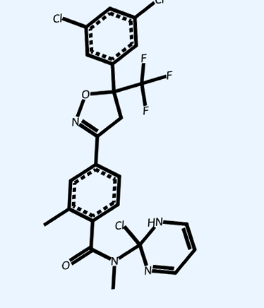 Cc1cc(C2=NOC(c3cc(Cl)cc(Cl)c3)(C(F)(F)F)C2)ccc1C(=O)N(C)C1(Cl)N=CC=CN1